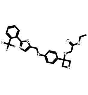 CCOC(=O)COC1(c2ccc(OCc3cnc(-c4ccccc4C(F)(F)F)s3)cc2)COC1